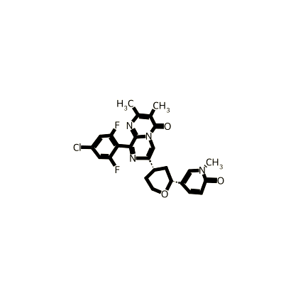 Cc1nc2c(-c3c(F)cc(Cl)cc3F)nc([C@H]3CCO[C@@H](c4ccc(=O)n(C)c4)C3)cn2c(=O)c1C